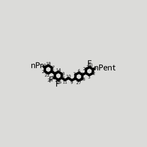 CCCCCC1CCC(C2CCC(CCCC3CCC(C4CCC(CCC)CC4)C(F)C3F)CC2)CC1F